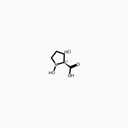 Cl.O=C(O)[C@@H]1CCCN1O